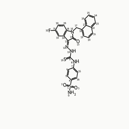 NS(=O)(=O)c1ccc(NC(=S)NN=C2C(=O)N(Cc3cccc4ccccc34)c3ccc(F)cc32)cc1